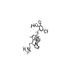 COc1cc(Cl)cc(/C=C/C2=[N+]3[BH-](F)n4cccc4C(CCN)=C3C(C)=C2)c1O